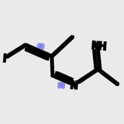 CC(=N)/N=C\C(C)=C/I